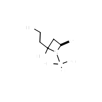 CC1(CCO)CC(=O)N1[Si](C)(C)C(C)(C)C